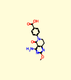 COc1nc(N)c2c(n1)CCN(c1ccc(C(=O)O)cc1)C2=O